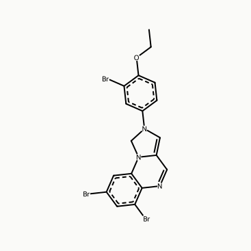 CCOc1ccc(N2C=C3C=Nc4c(Br)cc(Br)cc4N3C2)cc1Br